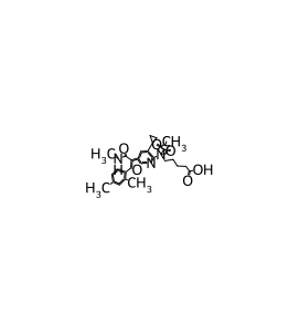 CNC(=O)c1c(-c2ccc(C)cc2C)oc2nc(N(CCCCC(=O)O)S(C)(=O)=O)c(C3CC3)cc12